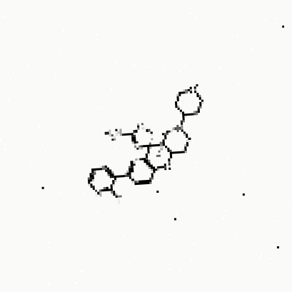 NC1=N[C@]2(CO1)c1cc(-c3cccnc3F)ccc1OC1CCN(C3CCOCC3)C[C@@H]12